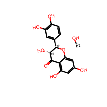 CCO.O=C1c2c(O)cc(O)cc2O[C@H](c2ccc(O)c(O)c2)[C@H]1O